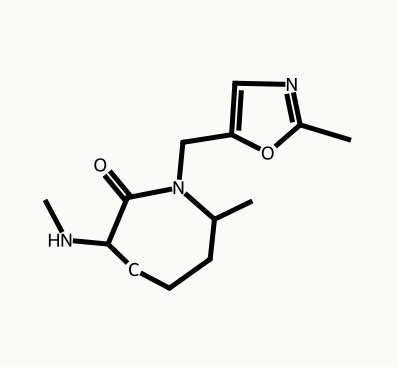 CNC1CCCC(C)N(Cc2cnc(C)o2)C1=O